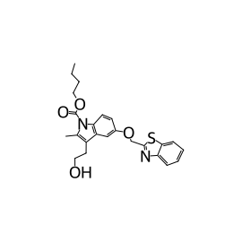 CCCCOC(=O)n1c(C)c(CCO)c2cc(OCc3nc4ccccc4s3)ccc21